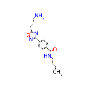 CCCCNC(=O)c1ccc(-c2noc(CCCN)n2)cc1